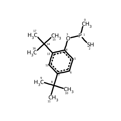 CP(S)Oc1ccc(C(C)(C)C)cc1C(C)(C)C